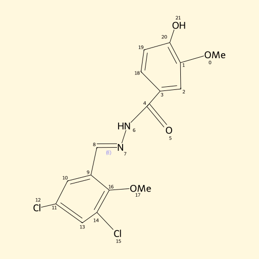 COc1cc(C(=O)N/N=C/c2cc(Cl)cc(Cl)c2OC)ccc1O